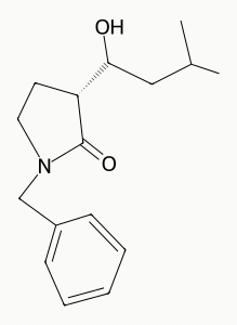 CC(C)CC(O)[C@H]1CCN(Cc2ccccc2)C1=O